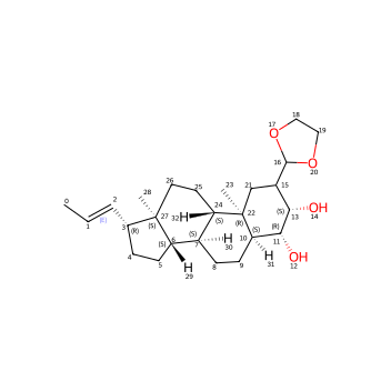 C/C=C/[C@H]1CC[C@H]2[C@@H]3CC[C@@H]4[C@@H](O)[C@@H](O)C(C5OCCO5)C[C@]4(C)[C@H]3CC[C@]12C